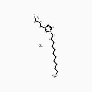 CCCCCCCCCCCCn1cc[n+](CCCC)c1.[Cl-]